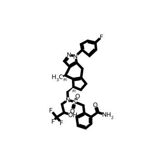 C[C@@H]1C2=C(CC[C@H]2CN(CC(O)C(F)(F)F)S(=O)(=O)Cc2ccccc2C(N)=O)Cc2c1cnn2-c1ccc(F)cc1